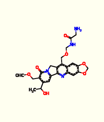 CC(O)c1cc2n(c(=O)c1COC=O)Cc1c-2nc2cc3c(cc2c1COCNC(=O)CN)OCO3